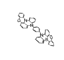 c1ccc2c(c1)Oc1cccc3c1N2c1ccccc1N3c1ccc(N2c3ccccc3N3c4ccccc4Oc4cccc2c43)cc1